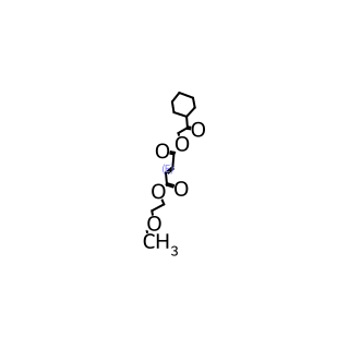 CCOCCOC(=O)/C=C/C(=O)OCC(=O)C1CCCCC1